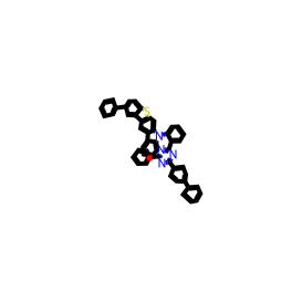 c1ccc(-c2ccc(-c3nc(-c4ccccc4)nc(-c4ccccc4-n4c5ccccc5c5cc6c(cc54)sc4ccc(-c5ccccc5)cc46)n3)cc2)cc1